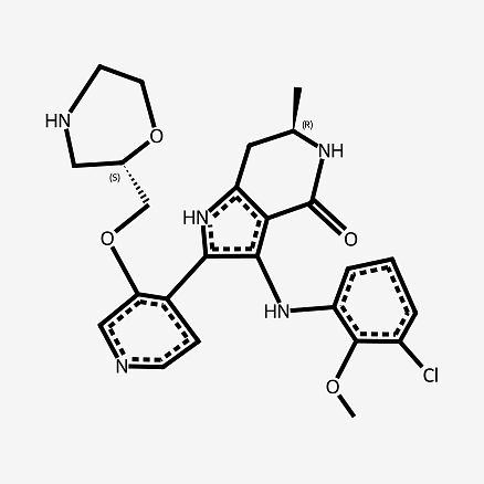 COc1c(Cl)cccc1Nc1c(-c2ccncc2OC[C@@H]2CNCCO2)[nH]c2c1C(=O)N[C@H](C)C2